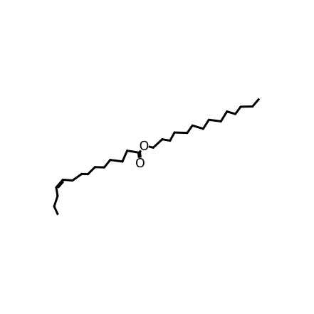 CCC/C=C\CCCCCCCCC(=O)OCCCCCCCCCCCCCC